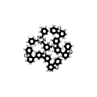 c1ccc(-c2nc(-c3ccccc3)nc(-c3cc(-n4c5ccc(-c6cccc7oc8ccccc8c67)cc5c5cc(-c6cccc7oc8ccccc8c67)ccc54)cc(-n4c5ccc(-c6cccc7oc8ccccc8c67)cc5c5cc(-c6cccc7oc8ccccc8c67)ccc54)c3)n2)cc1